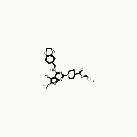 CCOC(=O)C1CCN(c2nc(NCc3ccc4c(c3)OCCO4)c3c(Cl)c(C)sc3n2)CC1